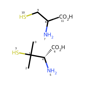 CC(C)(S)[C@@H](N)C(=O)O.NC(CS)C(=O)O